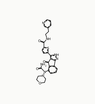 NC(=O)N(c1cccc2c1C(=O)c1c-2n[nH]c1-c1ccc(C(=O)NCCc2cccnc2)s1)N1CCOCC1